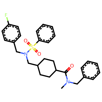 CN(Cc1ccccc1)C(=O)C1CCC(CN(Cc2ccc(F)cc2)S(=O)(=O)c2ccccc2)CC1